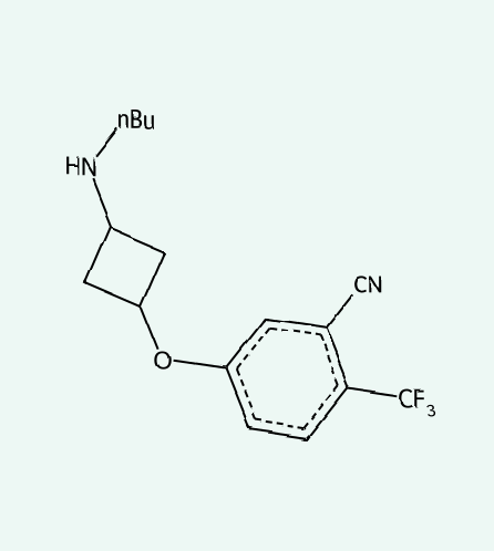 CCCCNC1CC(Oc2ccc(C(F)(F)F)c(C#N)c2)C1